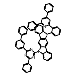 c1ccc(-c2cccc(-c3nc(-c4ccccc4)nc(-n4c5ccccc5c5cc6c(cc54)c4ccccc4n6-c4ccccc4-c4nc(-c5ccccc5)cc(-c5ccccc5)n4)n3)c2)cc1